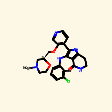 CCc1c(Cl)cccc1Nc1c(-c2ccncc2OC[C@H]2CN(C(=O)O)CCO2)[nH]c2c1C(=O)NCC2